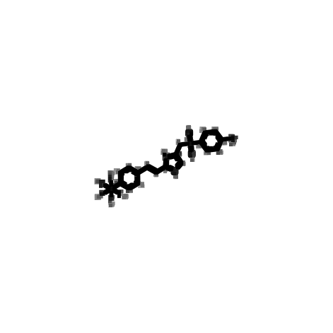 O=S(=O)(Cc1coc(C=Cc2ccc(S(F)(F)(F)(F)F)cc2)n1)c1ccc(Br)cc1